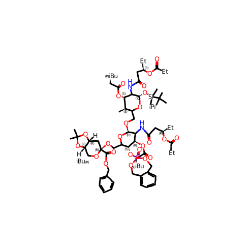 CCC(=O)O[C@H](CC)CC(=O)NC1[C@H](O[Si](C)(C)C(C)(C)C(C)C)OC(CO[C@@H]2OC(CO[C@]3(C(=O)OCc4ccccc4)C[C@H]4OC(C)(C)O[C@H]4C([C@H](C)CC)O3)[C@@H](OP3(=O)OCc4ccccc4CO3)[C@H](OC(=O)C[C@H](C)CC)C2NC(=O)C[C@@H](CC)OC(=O)CC)[C@@H](C)[C@@H]1OC(=O)C[C@H](C)CC